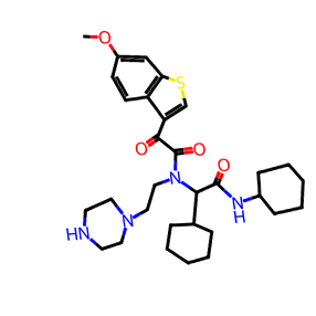 COc1ccc2c(C(=O)C(=O)N(CCN3CCNCC3)C(C(=O)NC3CCCCC3)C3CCCCC3)csc2c1